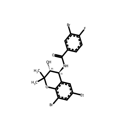 CCc1cc(Br)c2c(c1)[C@H](NC(=O)c1ccc(F)c(Br)c1)[C@@H](O)C(C)(C)O2